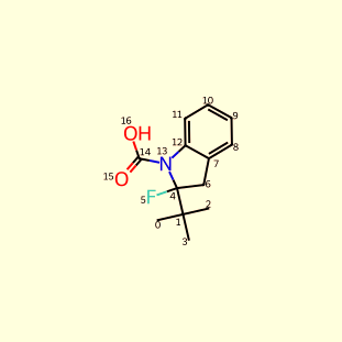 CC(C)(C)C1(F)Cc2ccccc2N1C(=O)O